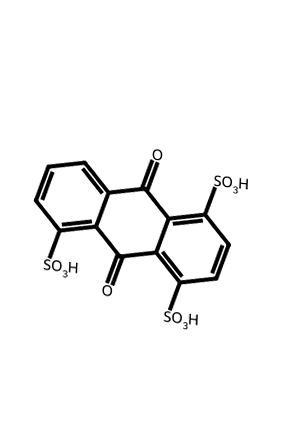 O=C1c2cccc(S(=O)(=O)O)c2C(=O)c2c(S(=O)(=O)O)ccc(S(=O)(=O)O)c21